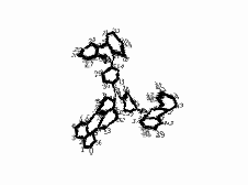 c1cc2cccc3c4ccc(N(c5ccc(-n6c7ccccc7c7ccccc76)cc5)c5ccc(-n6c7ccccc7c7ccccc76)cc5)c5cccc(c(c1)c23)c54